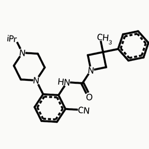 CC(C)N1CCN(c2cccc(C#N)c2NC(=O)N2CC(C)(c3ccccc3)C2)CC1